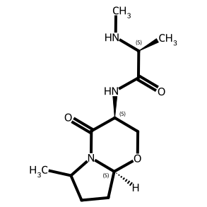 CN[C@@H](C)C(=O)N[C@H]1CO[C@H]2CCC(C)N2C1=O